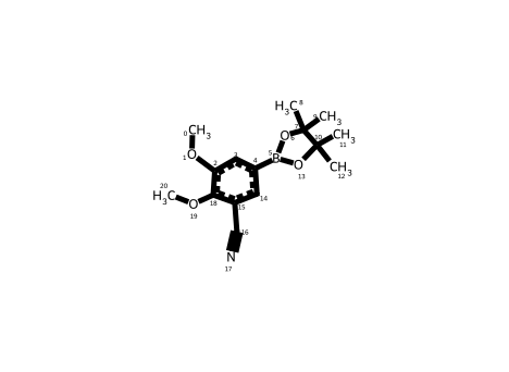 COc1cc(B2OC(C)(C)C(C)(C)O2)cc(C#N)c1OC